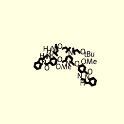 COc1cc2c(cc1OCc1cc(N(C(C)(C)CCOC(C)(C)C)C(C)(C)CCOC(C)(N)CC(C)(C)S)cc(COc3cc4c(cc3OC)C(=O)N3c5ccccc5C[C@H]3CN4)n1)N=C[C@@H]1Cc3ccccc3N1C2=O